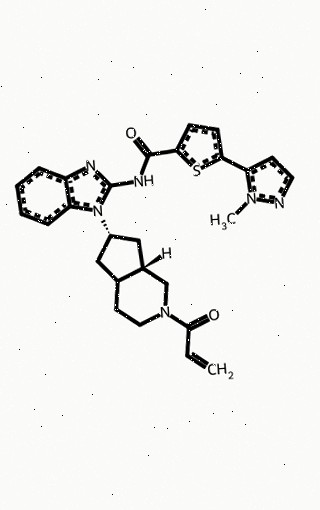 C=CC(=O)N1CCC2C[C@H](n3c(NC(=O)c4ccc(-c5ccnn5C)s4)nc4ccccc43)C[C@@H]2C1